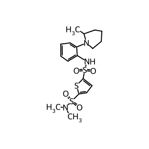 CC1CCCCN1c1ccccc1NS(=O)(=O)c1ccc(S(=O)(=O)N(C)C)s1